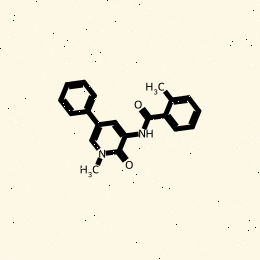 Cc1ccccc1C(=O)Nc1cc(-c2ccccc2)cn(C)c1=O